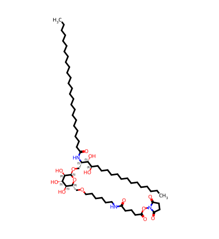 CCCCCCCCCCCCCCCCCCCCCCCCCC(=O)N[C@@H](CO[C@H]1O[C@H](COCCCCCCNC(=O)CCCC(=O)ON2C(=O)CCC2=O)[C@@H](O)[C@H](O)[C@H]1O)[C@H](O)[C@H](O)CCCCCCCCCCCCCC